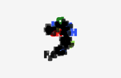 OC1(c2ncc(-c3c(Cl)cnc4[nH]c(-c5ccc(CN6CCC(C(F)(F)F)CC6)c(F)c5)cc34)s2)CCC1